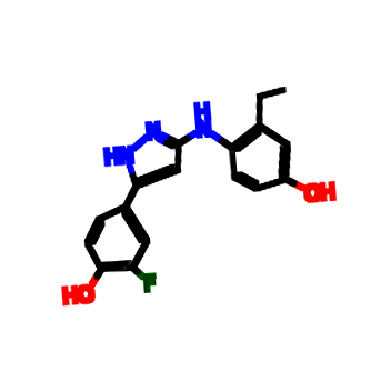 CCc1cc(O)ccc1Nc1cc(-c2ccc(O)c(F)c2)[nH]n1